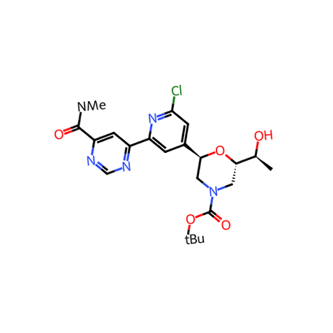 CNC(=O)c1cc(-c2cc([C@@H]3CN(C(=O)OC(C)(C)C)C[C@@H]([C@H](C)O)O3)cc(Cl)n2)ncn1